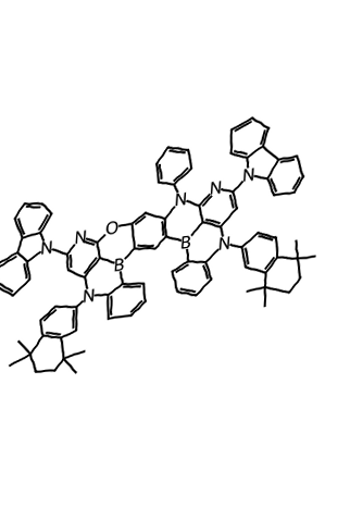 CC1(C)CCC(C)(C)c2cc(N3c4ccccc4B4c5cc6c(cc5Oc5nc(-n7c8ccccc8c8ccccc87)cc3c54)N(c3ccccc3)c3nc(-n4c5ccccc5c5ccccc54)cc4c3B6c3ccccc3N4c3ccc4c(c3)C(C)(C)CCC4(C)C)ccc21